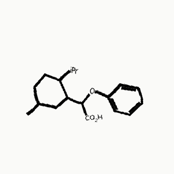 CC1CCC(C(C)C)C(C(Oc2ccccc2)C(=O)O)C1